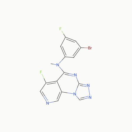 CN(c1cc(F)cc(Br)c1)c1nc2nncn2c2cncc(F)c12